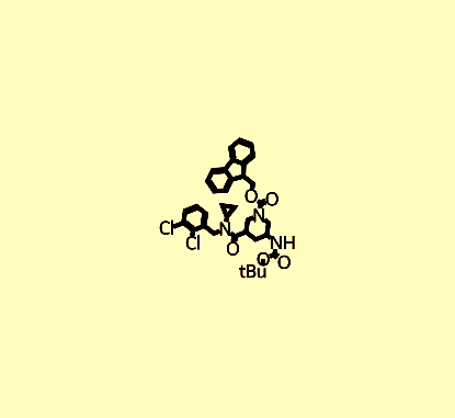 CC(C)(C)OC(=O)NC1CC(C(=O)N(Cc2cccc(Cl)c2Cl)C2CC2)CN(C(=O)OCC2c3ccccc3-c3ccccc32)C1